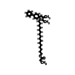 C=CC(=O)OCCCCCCCCCCCCCCCCOC1(CC(C)CC)C=CC(c2ccccc2)C=C1